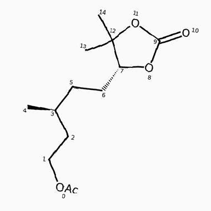 CC(=O)OCC[C@@H](C)CC[C@H]1OC(=O)OC1(C)C